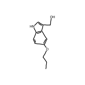 CCCOc1ccc2[nH]cc(CO)c2c1